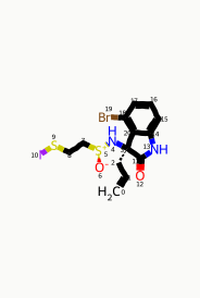 C=CC[C@@]1(N[S@@+]([O-])CCSI)C(=O)Nc2cccc(Br)c21